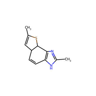 CC1=CC2C=Cc3[nH]c(C)nc3C2S1